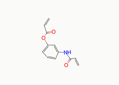 C=CC(=O)Nc1cccc(OC(=O)C=C)c1